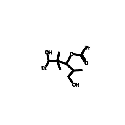 CCC(O)C(C)(C)C(OC(=O)C(C)C)C(C)CO